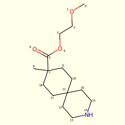 COCCOC(=O)C1(C)CCC2(CCNCC2)CC1